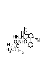 CC(C)(C)OC(=O)NC(=N)NC(=O)c1c(O)ccc(C#N)c1-c1ccccc1